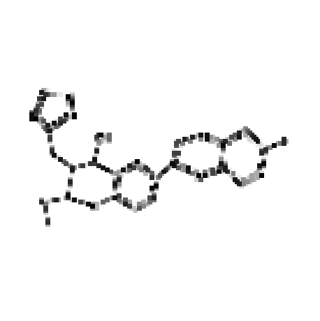 COC1Oc2ccc(-c3ccc4cc(F)ccc4n3)cc2C(O)C1Cc1nccs1